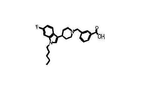 CCCCCn1cc(C2CCN(Cc3cccc(C(=O)O)c3)CC2)c2ccc(F)cc21